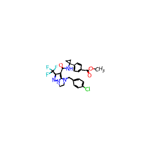 COC(=O)c1ccc(C2(NC(=O)c3c(C(F)(F)F)nn4c3N(Cc3ccc(Cl)cc3)CC4)CC2)cc1